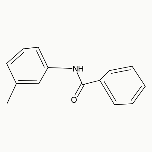 Cc1cccc(NC(=O)c2ccccc2)c1